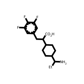 CCC(N)C1CCC(C(Cc2cc(F)c(F)c(F)c2)C(=O)O)CC1